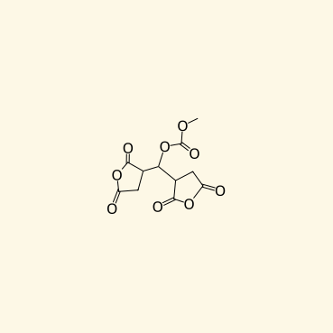 COC(=O)OC(C1CC(=O)OC1=O)C1CC(=O)OC1=O